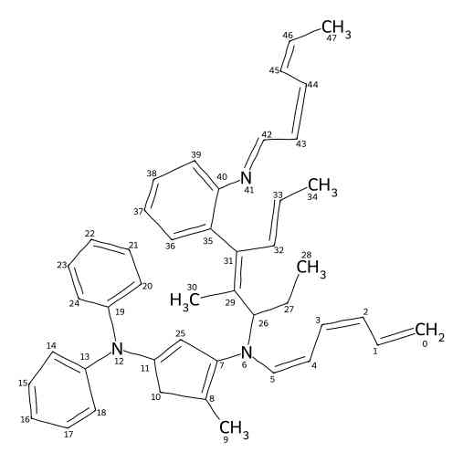 C=C/C=C\C=C/N(C1=C(C)CC(N(c2ccccc2)c2ccccc2)=C1)C(CC)/C(C)=C(\C=CC)c1ccccc1/N=C/C=C\C=C/C